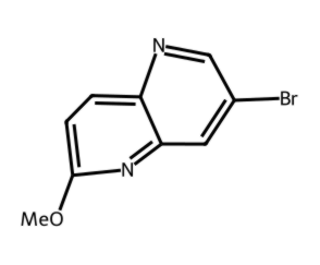 COc1ccc2ncc(Br)cc2n1